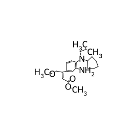 COC/C(=C/C(=O)OC)c1ccc(N(CC(C)C)C2CCCCC2)c(N)c1